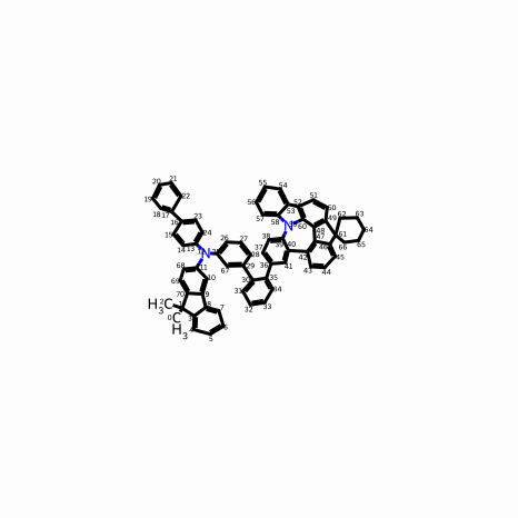 CC1(C)c2ccccc2-c2cc(N(c3ccc(-c4ccccc4)cc3)c3cccc(-c4ccccc4-c4ccc5c(c4)-c4cccc6c4-c4c(ccc7c8ccccc8n-5c47)C64CCCCC4)c3)ccc21